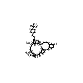 CO[C@@]1(C#CCCN2CCN(S(C)(=O)=O)CC2)CCC[C@H](C)[C@@H](C)S(=O)(=O)NC(=O)c2ccc3c(c2)N(CCCCc2cc(Cl)ccc2CO3)C[C@@H]2CC[C@H]21